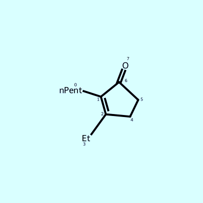 CCCCCC1=C(CC)CCC1=O